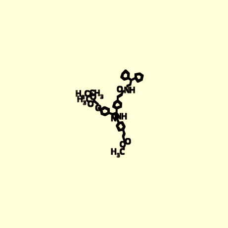 CCOC(=O)C=Cc1ccc(-c2nc(-c3ccc(OCC(=O)OC(C)(C)C)cc3)c(-c3ccc(C=CC(=O)NCCC(c4ccccc4)c4ccccc4)cc3)[nH]2)cc1